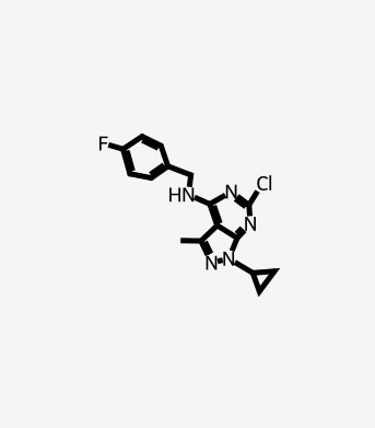 Cc1nn(C2CC2)c2nc(Cl)nc(NCc3ccc(F)cc3)c12